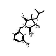 CC(C)CC1(C)C(=O)N(Cc2cccc(Br)c2)C(=N)N1C